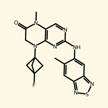 Cc1cc2nsnc2cc1Nc1ncc2c(n1)N(C13CC(F)(C1)C3)CC(=O)N2C